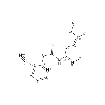 C=C(Cc1ncccc1C#N)N/C(=N/C)S/C=C(/C)CC